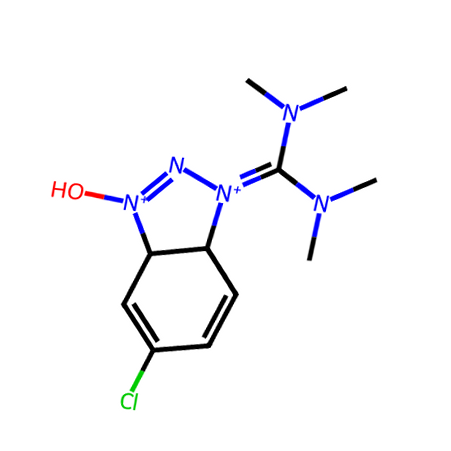 CN(C)C(N(C)C)=[N+]1N=[N+](O)C2C=C(Cl)C=CC21